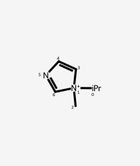 CC(C)[N+]1(C)C=CN=C1